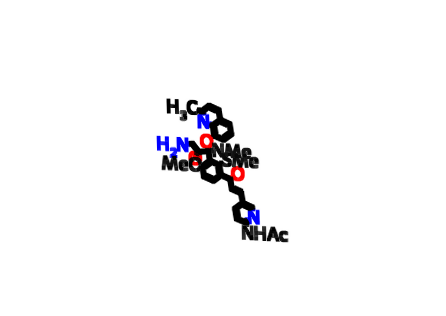 CNC(Oc1cccc2ccc(C)nc12)(C(=O)CN)c1c(OC)ccc(C(=O)C=Cc2ccc(NC(C)=O)nc2)c1SC